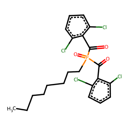 CCCCCCCCP(=O)(C(=O)c1c(Cl)cccc1Cl)C(=O)c1c(Cl)cccc1Cl